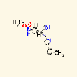 CCOC(=O)N[C@@H]1CC[C@@H]2[C@H](Cc3c[nH]cc3[C@H]2/C=C/c2ccc(-c3cccc(C)c3)cn2)C1